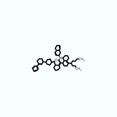 CCCCC(CCC)C1=C2CCCCC2C(/C(CNC2C=CC3CCC=CC3C2)=C2\CCCCC2C(C)C2CCC(C3C=C(c4ccccc4)CCC3)CC2)CC1